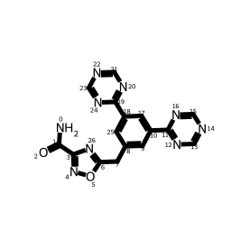 NC(=O)c1noc(Cc2cc(-c3ncncn3)cc(-c3ncncn3)c2)n1